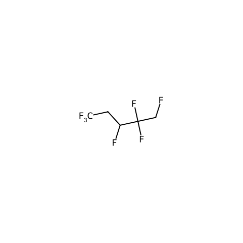 FCC(F)(F)C(F)CC(F)(F)F